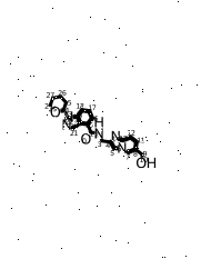 O=C(NCc1cn2cc(CO)ccc2n1)c1cccc2c1cnn2C1CCCCO1